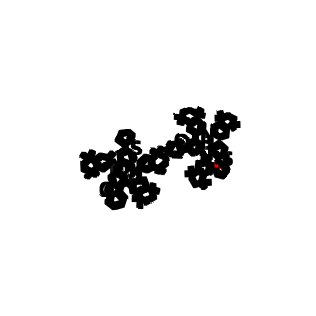 Cc1cc2c(cc1N1c3cc4c(cc3B3c5c1cc1oc6ccccc6c1c5-c1cc5c(cc1N3c1ccc3c(c1)C(C)(C)CCC3(C)Cc1ccc3c(c1)oc1c6c7c(cc13)N(c1cc3c(cc1C)C(C)(C)CCC3(C)C)c1c(ccc3sc8ccccc8c13)B7N(c1ccc3c(c1)C(C)(C)CCC3(C)C)c1cc3c(cc1-6)C(C)(C)CCC3(C)C)C(C)(C)CCC5(C)C)sc1ccccc14)C(C)(C)CCC2(C)C